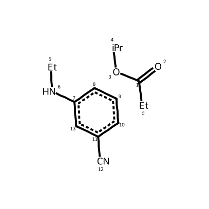 CCC(=O)OC(C)C.CCNc1cccc(C#N)c1